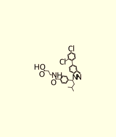 CC(C)CC(c1ccc(C(=O)NCCC(=O)O)cc1)n1ncc2cc(-c3ccc(Cl)cc3Cl)ccc21